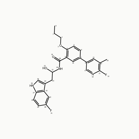 CCCOc1ccc(-c2cnc(F)c(C)c2)cc1C(=O)NC(O)Cc1c[nH]c2ccc(F)cc12